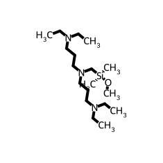 CCN(CC)CCCN(CCCN(CC)CC)C[Si](C)(C)OC